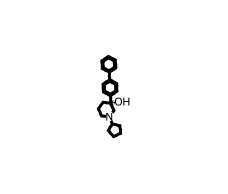 O[C@@]1(c2ccc(-c3ccccc3)cc2)CCCN(C2CCCC2)C1